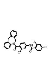 O=C(Nc1ccc(C(=O)N2Cc3ccccc3Cc3ccccc32)c(Cl)c1)c1ccc(Cl)cc1Cl